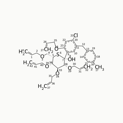 C=CCOC[C@@H]1S[C@@](O)(c2cc(Cc3ccc(C)cc3)c(Cl)cc2OCC=C)[C@H](OCC=C)[C@@H](OCC=C)[C@@H]1OCC=C